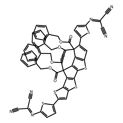 N#CC(C#N)=Nc1ccc(C2=Cc3sc4c(c3C2(C(=O)OCc2ccccc2)C(=O)OCc2ccccc2)C(C(=O)OCc2ccccc2)(C(=O)OCc2ccccc2)c2c-4sc3cc(-c4ccc(N=C(C#N)C#N)s4)sc23)s1